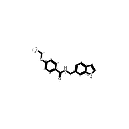 O=C(NCc1ccc2cc[nH]c2c1)c1ccc(OCC(F)(F)F)cc1